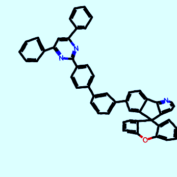 c1ccc(-c2cc(-c3ccccc3)nc(-c3ccc(-c4cccc(-c5ccc6c(c5)C5(c7ccccc7Oc7ccccc75)c5cccnc5-6)c4)cc3)n2)cc1